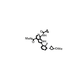 CNC(=O)c1cnc(NC(=O)C2CC2)c2[nH]c(-c3cccc([C@H]4C[C@H](OC)C4)c3F)cc12